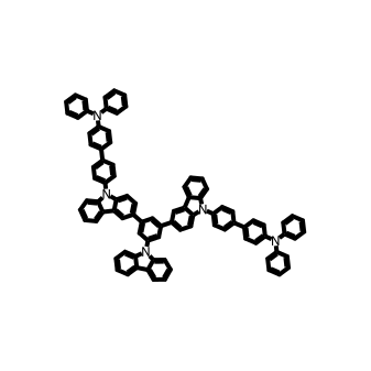 c1ccc(N(c2ccccc2)c2ccc(-c3ccc(-n4c5ccccc5c5cc(-c6cc(-c7ccc8c(c7)c7ccccc7n8-c7ccc(-c8ccc(N(c9ccccc9)c9ccccc9)cc8)cc7)cc(-n7c8ccccc8c8ccccc87)c6)ccc54)cc3)cc2)cc1